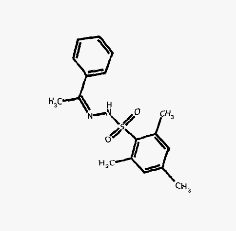 CC(=NNS(=O)(=O)c1c(C)cc(C)cc1C)c1ccccc1